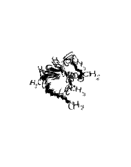 C=C(C)C(=O)OCCCCCCCCCCCC.C=C(C)C(=O)OCCOP(=O)([O-])OCC[N+](C)(C)C.C=C(CCCC[Si](C)(C)C)C(=O)O